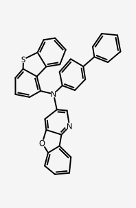 c1ccc(-c2ccc(N(c3cnc4c(c3)oc3ccccc34)c3cccc4sc5ccccc5c34)cc2)cc1